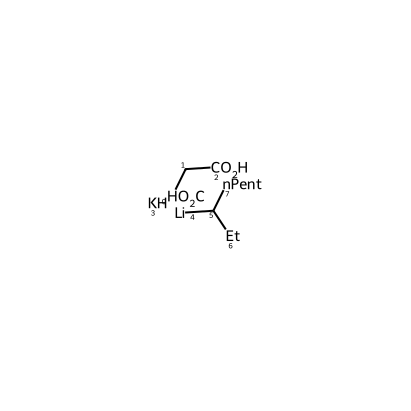 O=C(O)CC(=O)O.[KH].[Li][CH](CC)CCCCC